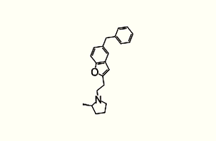 C[C@@H]1CCCN1CCc1cc2cc(Cc3ccccc3)ccc2o1